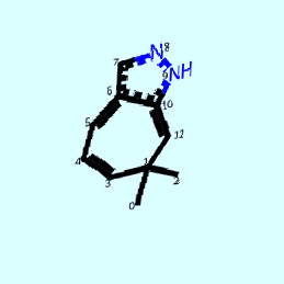 CC1(C)C=CC=c2cn[nH]c2=C1